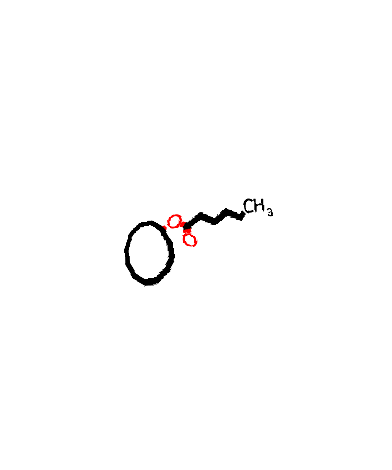 CCCCCC(=O)OC1CCCCCCCCCCC1